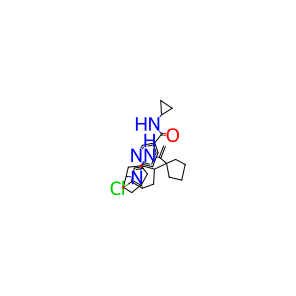 C=C(NC1CC2CCC(C1)N2c1ccc(C(=O)NC2CC2)cn1)C1(C2C=CC(Cl)=CC2)CCCC1